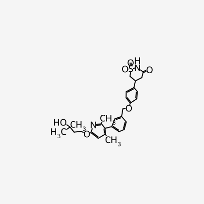 Cc1cc(OCCC(C)(C)O)nc(C)c1-c1cccc(COc2ccc(C3CC(=O)NS(=O)(=O)C3)cc2)c1